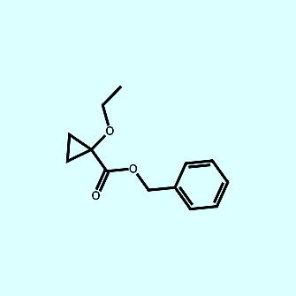 CCOC1(C(=O)OCc2ccccc2)CC1